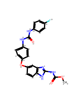 COC(=O)Nc1nc2cc(Oc3ccc(NC(=O)Nc4ccc(F)cc4)cc3)ccc2[nH]1